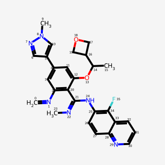 C=Nc1cc(-c2cnn(C)c2)cc(OC(C)C2COC2)c1/C(=N\C)Nc1ccc2ncccc2c1F